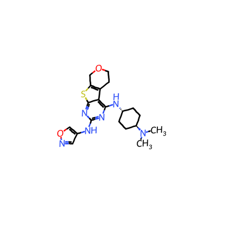 CN(C)[C@H]1CC[C@H](Nc2nc(Nc3cnoc3)nc3sc4c(c23)CCOC4)CC1